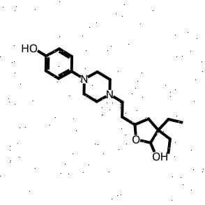 CCC1(CC)CC(CCN2CCN(c3ccc(O)cc3)CC2)OC1O